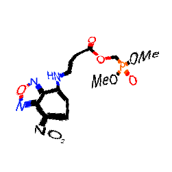 COP(=O)(COC(=O)CCNc1ccc([N+](=O)[O-])c2nonc12)OC